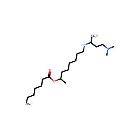 CCCCCCCCCCCCCCCC(=O)OC(C)CCCCCCNC(CCN(C)C)C(=O)O